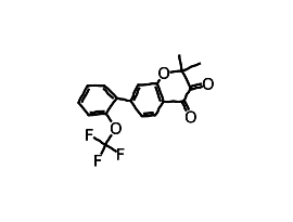 CC1(C)Oc2cc(-c3ccccc3OC(F)(F)F)ccc2C(=O)C1=O